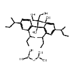 CCC(C)c1ccc(C(O)(c2ccc(C(C)CC)cc2C(C)CC)C(CO)(CO)CO)c(C(C)CC)c1.OP(O)OP(O)O